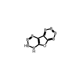 B1=Bc2c(oc3bbbbc23)BB1